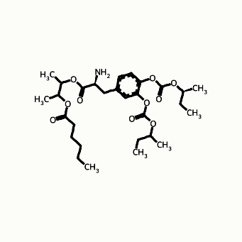 CCCCCC(=O)OC(C)C(C)OC(=O)[C@@H](N)Cc1ccc(OC(=O)O[C@@H](C)CC)c(OC(=O)OC(C)CC)c1